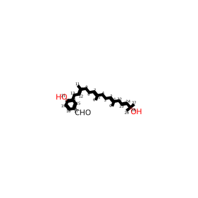 C/C(=C\CC/C(C)=C/CC/C(C)=C/Cc1cc(C=O)ccc1O)C/C=C/C(C)(C)O